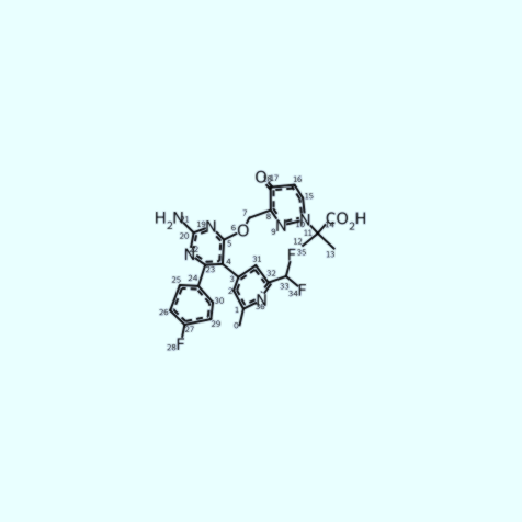 Cc1cc(-c2c(OCc3nn(C(C)(C)C(=O)O)ccc3=O)nc(N)nc2-c2ccc(F)cc2)cc(C(F)F)n1